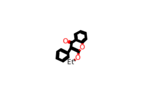 CCOc1oc2ccccc2c(=O)c1-c1ccccc1